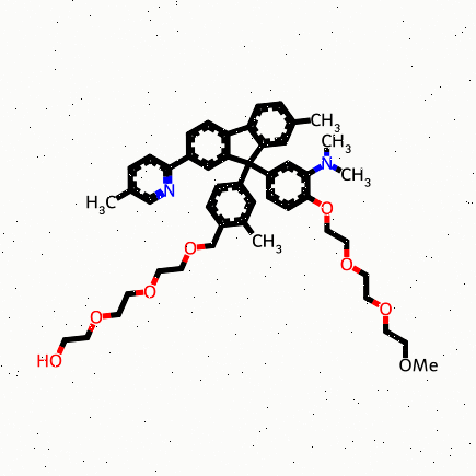 COCCOCCOCCOc1ccc(C2(c3ccc(COCCOCCOCCO)c(C)c3)c3cc(C)ccc3-c3ccc(-c4ccc(C)cn4)cc32)cc1N(C)C